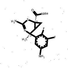 CNC(=O)[C@]12CC1[C@@](C)(c1cc(N)cc(F)c1F)N=C(N)S2